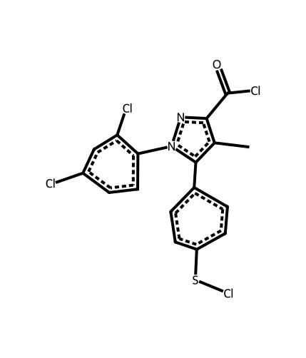 Cc1c(C(=O)Cl)nn(-c2ccc(Cl)cc2Cl)c1-c1ccc(SCl)cc1